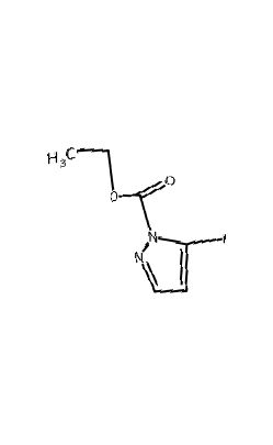 CCOC(=O)n1nccc1I